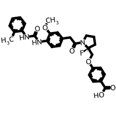 COc1cc(CC(=O)N2CCC[C@]2(F)COc2ccc(C(=O)O)cc2)ccc1NC(=O)Nc1ccccc1C